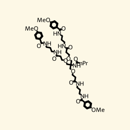 CCCC(=O)NC(COCCC(=O)NCCCNC(=O)c1ccc(OC)cc1)(COCCC(=O)NCCCNC(=O)c1ccc(OC)cc1)COCCC(=O)NCCCNC(=O)c1ccc(OC)cc1